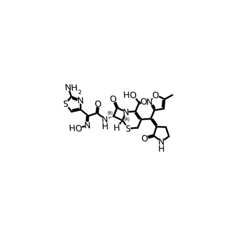 Cc1cc(C(=C2CCNC2=O)C2=C(C(=O)O)N3C(=O)[C@@H](NC(=O)C(=NO)c4csc(N)n4)[C@H]3SC2)no1